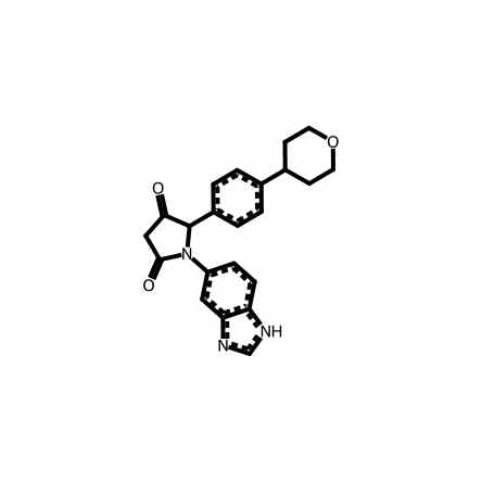 O=C1CC(=O)N(c2ccc3[nH]cnc3c2)C1c1ccc(C2CCOCC2)cc1